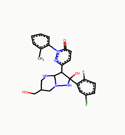 Cc1ccccc1-n1nc(C2C3NCC(CO)CN3NC2(O)c2cc(F)ccc2F)ccc1=O